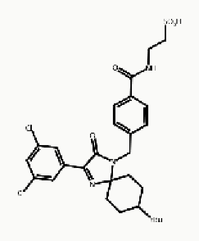 CC(C)(C)C1CCC2(CC1)N=C(c1cc(Cl)cc(Cl)c1)C(=O)N2Cc1ccc(C(=O)NCCS(=O)(=O)O)cc1